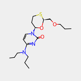 CCCOC[C@H]1O[C@@H](n2ccc(N(CCC)CCC)nc2=O)CCS1